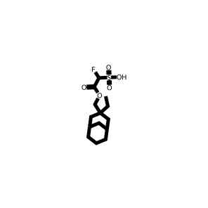 CCC1(COC(=O)C(F)S(=O)(=O)O)CC2CCCC(C2)C1